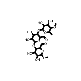 COC1OC(C=O)C(OC2OC(C=O)C(OC3OC(C)C(OC)C(O)C3O)C(O)C2O)C(O)C1O